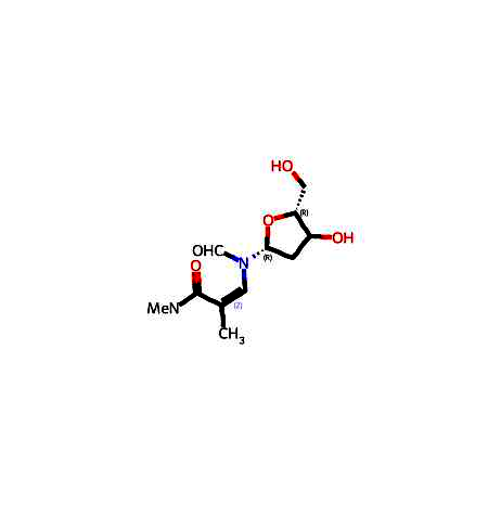 CNC(=O)/C(C)=C\N(C=O)[C@H]1CC(O)[C@@H](CO)O1